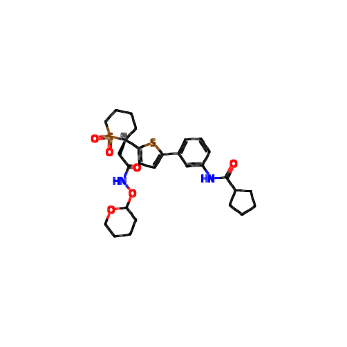 O=C(C[C@]1(c2ccc(-c3cccc(NC(=O)C4CCCC4)c3)s2)CCCCS1(=O)=O)NOC1CCCCO1